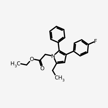 CCOC(=O)Cn1c(CC)cc(-c2ccc(F)cc2)c1-c1ccccc1